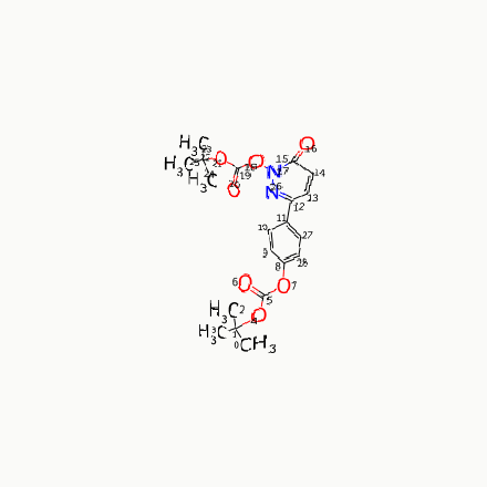 CC(C)(C)OC(=O)Oc1ccc(-c2ccc(=O)n(OC(=O)OC(C)(C)C)n2)cc1